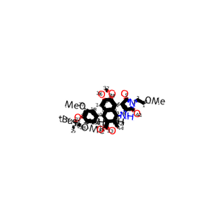 COCCN1C(=O)C=C(N[C@@H]2c3cc4c(cc3[C@@H](c3cc(OC)c(O[Si](C)(C)C(C)(C)C)c(OC)c3)[C@H]3C(=O)OC[C@@H]32)OCO4)C1=O